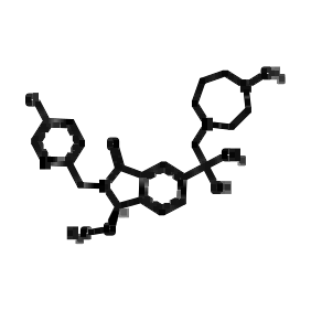 CO[C@@H]1c2ccc(C(C)(O)CN3CCCN(C)CC3)cc2C(=O)N1Cc1ccc(Cl)cn1